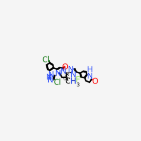 C[C@H]1Cc2nc(-c3cc(Cl)ccc3-n3cc(Cl)nn3)cc(=O)n2[C@@H]1c1ncc(-c2ccc3c(c2F)CCC(=O)N3)[nH]1